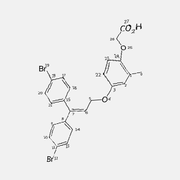 Cc1cc(OCC=C(c2ccc(Br)cc2)c2ccc(Br)cc2)ccc1OCC(=O)O